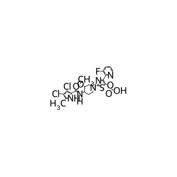 CO[C@H]1CN(c2nc(-c3ncccc3F)c(OC(=O)O)s2)CC[C@H]1NC(=O)c1[nH]c(C)c(Cl)c1Cl